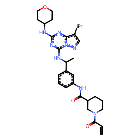 C=CC(=O)N1CCCC(C(=O)Nc2cccc(C(C)Nc3nc(NC4CCOCC4)nc4c(C(C)C)cnn34)c2)C1